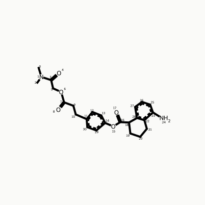 CN(C)C(=O)COC(=O)CCc1ccc(OC(=O)C2CCCc3c(N)cccc32)cc1